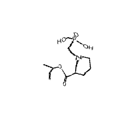 CC(C)OC(=O)C1CCCN1CP(=O)(O)O